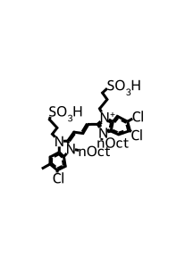 CCCCCCCCN1/C(=C\C=C\c2n(CCCCCCCC)c3cc(Cl)c(Cl)cc3[n+]2CCCS(=O)(=O)O)N(CCCS(=O)(=O)O)c2cc(C)c(Cl)cc21